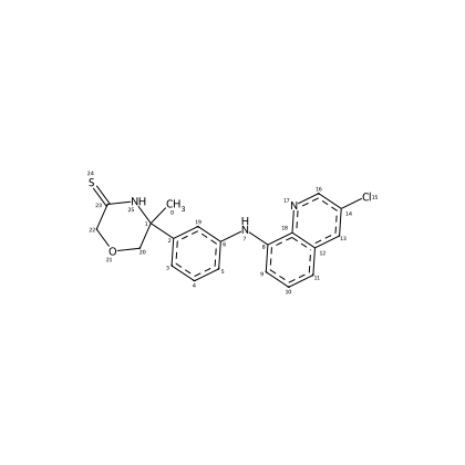 CC1(c2cccc(Nc3cccc4cc(Cl)cnc34)c2)COCC(=S)N1